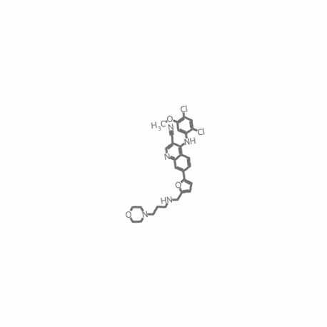 COc1cc(Nc2c(C#N)cnc3cc(-c4ccc(CNCCCN5CCOCC5)o4)ccc23)c(Cl)cc1Cl